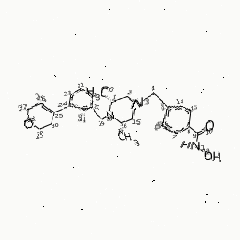 C[C@@H]1CN(Cc2ccc(C(=O)NO)cc2)C[C@H](C)N1Cc1cccc(C2=CCOCC2)c1